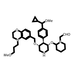 COCCCN1CCOc2ccc(CO[C@H]3CNC[C@@H](OC4CCCCN4CC=O)[C@@H]3c3ccc(C(OC)C4CC4)cc3)cc21